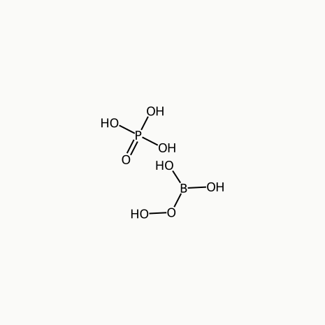 O=P(O)(O)O.OOB(O)O